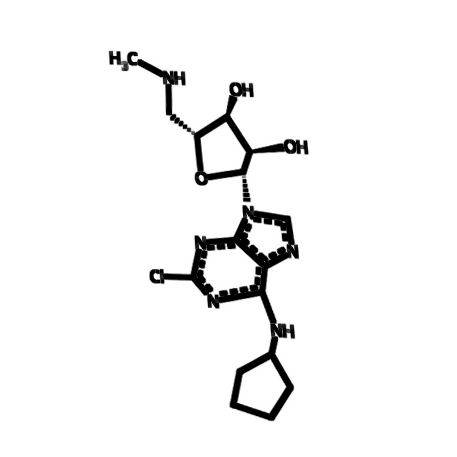 CNC[C@H]1O[C@@H](n2cnc3c(NC4CCCC4)nc(Cl)nc32)[C@H](O)[C@@H]1O